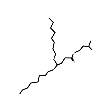 CCCCCCCCOC(CCC(=O)OCCC(C)C)OCCCCCCCC